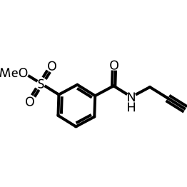 C#CCNC(=O)c1cccc(S(=O)(=O)OC)c1